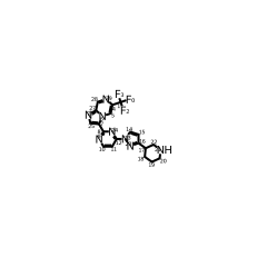 FC(F)(F)c1cn2c(-c3nccc(-n4ccc(C5CCCNC5)n4)n3)cnc2cn1